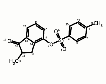 Cc1ccc(S(=O)(=O)Oc2cccc3c2CC(C)C3=O)cc1